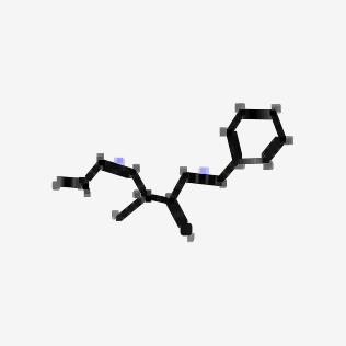 C=N/C=C\N(C)C(=O)/C=C/c1ccccc1